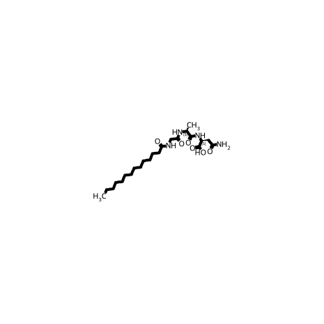 CCCCCCCCCCCCCC(=O)NCC(=O)N[C@@H](C)C(=O)N[C@@H](CC(N)=O)C(=O)O